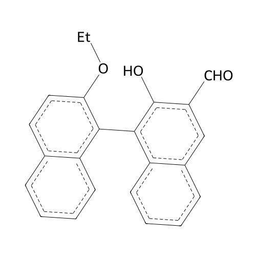 CCOc1ccc2ccccc2c1-c1c(O)c(C=O)cc2ccccc12